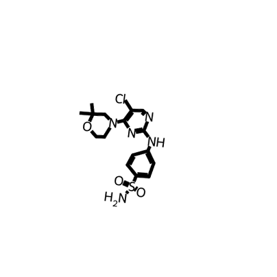 CC1(C)CN(c2nc(Nc3ccc(S(N)(=O)=O)cc3)ncc2Cl)CCO1